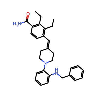 CCc1c(C=C2CCN(c3ccccc3NCc3ccccc3)CC2)ccc(C(N)=O)c1CC